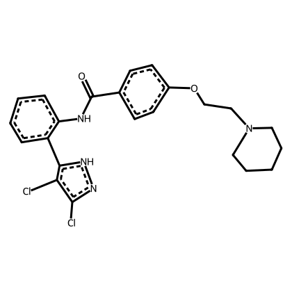 O=C(Nc1ccccc1-c1[nH]nc(Cl)c1Cl)c1ccc(OCCN2CCCCC2)cc1